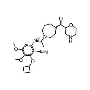 COc1cc(/N=C(\C)N2CCCN(C(=O)C3CNCCO3)CC2)c(C#N)c(OC2CCC2)c1OC